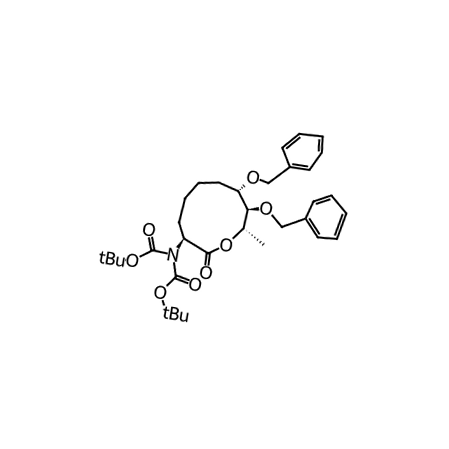 C[C@@H]1OC(=O)[C@@H](N(C(=O)OC(C)(C)C)C(=O)OC(C)(C)C)CCCC[C@H](OCc2ccccc2)[C@H]1OCc1ccccc1